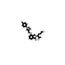 CC(=O)C(CCC=O)N1Cc2c(OCc3cn(-c4ccc(C)cc4)nn3)cccc2C1=O